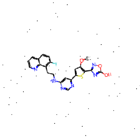 CCOc1cc(-c2cc(NCCc3c(F)ccc4cccnc34)ncn2)sc1-c1noc(O)n1